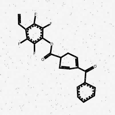 C=Cc1c(F)c(F)c(OC(=O)C2C=CC(C(=O)c3ccccc3)=CC2)c(F)c1F